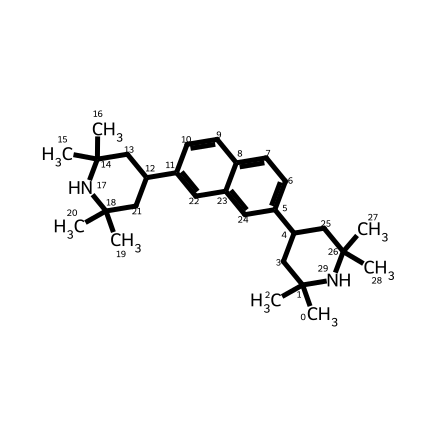 CC1(C)CC(c2ccc3ccc(C4CC(C)(C)NC(C)(C)C4)cc3c2)CC(C)(C)N1